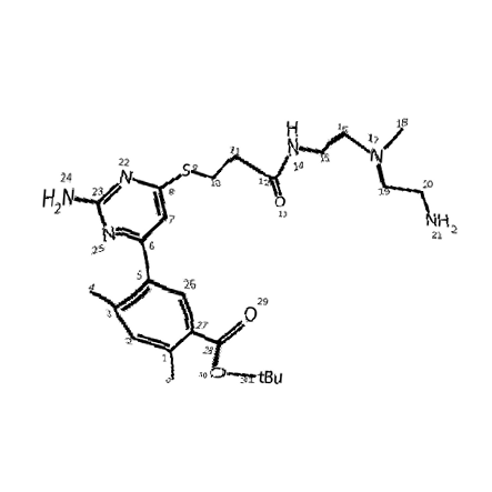 Cc1cc(C)c(-c2cc(SCCC(=O)NCCN(C)CCN)nc(N)n2)cc1C(=O)OC(C)(C)C